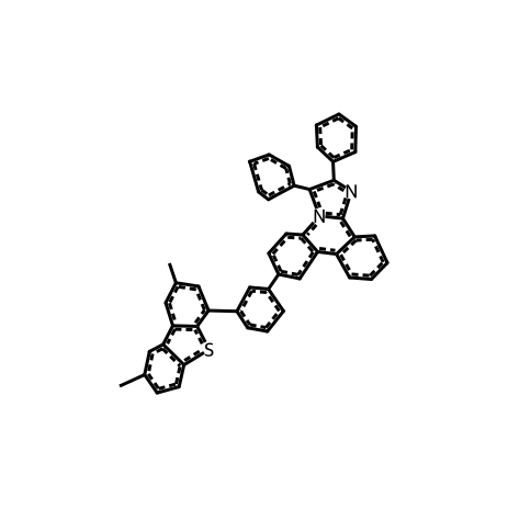 Cc1ccc2sc3c(-c4cccc(-c5ccc6c(c5)c5ccccc5c5nc(-c7ccccc7)c(-c7ccccc7)n65)c4)cc(C)cc3c2c1